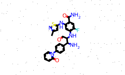 Cc1cc(Nc2cc(NC(C=O)C(N)c3ccc(-n4ccccc4=O)cc3)c(F)cc2C(N)=O)sn1